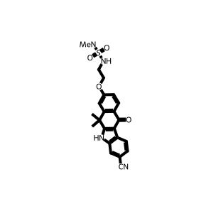 CNS(=O)(=O)NCCOc1ccc2c(c1)C(C)(C)c1[nH]c3cc(C#N)ccc3c1C2=O